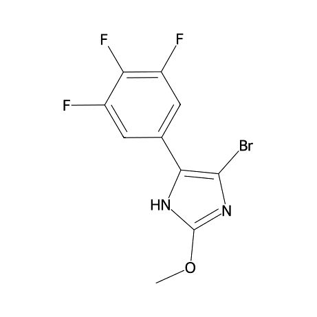 COc1nc(Br)c(-c2cc(F)c(F)c(F)c2)[nH]1